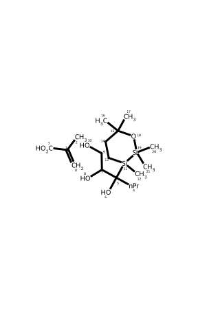 C=C(C)C(=O)O.CCCC(O)(C(O)CO)[Si]1(C)CCC(C)(C)O[Si]1(C)C